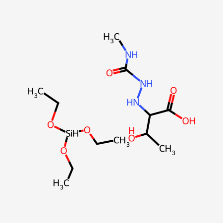 CCO[SiH](OCC)OCC.CNC(=O)NNC(C(=O)O)C(C)O